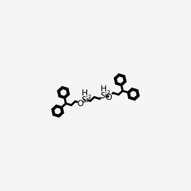 c1ccc(C(CCO[SiH2]CCC[SiH2]OCCC(c2ccccc2)c2ccccc2)c2ccccc2)cc1